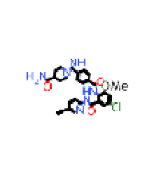 C#Cc1ccc(NC(=O)c2cc(Cl)cc(OC)c2NC(=O)c2ccc(C(=N)N3CCC(C(N)=O)CC3)cc2)nc1